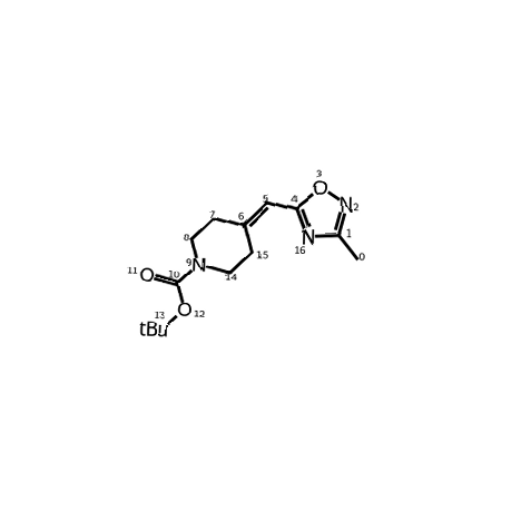 Cc1noc(C=C2CCN(C(=O)OC(C)(C)C)CC2)n1